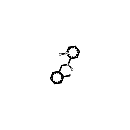 [O-][n+]1ccccc1[S+]([O-])Cc1ccccc1F